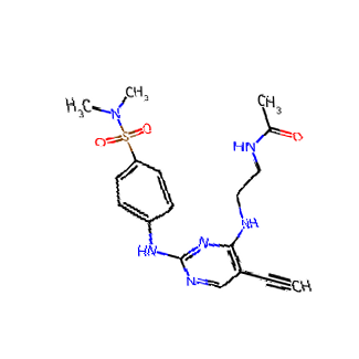 C#Cc1cnc(Nc2ccc(S(=O)(=O)N(C)C)cc2)nc1NCCNC(C)=O